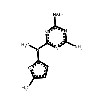 CNc1nc(N)nc(N(C)c2ccc(C)o2)n1